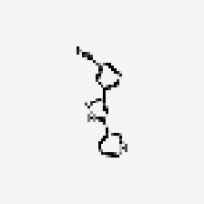 N#Cc1cccc(-c2cc(-c3cccnc3)no2)c1